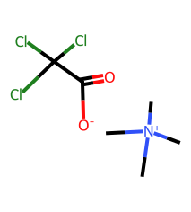 C[N+](C)(C)C.O=C([O-])C(Cl)(Cl)Cl